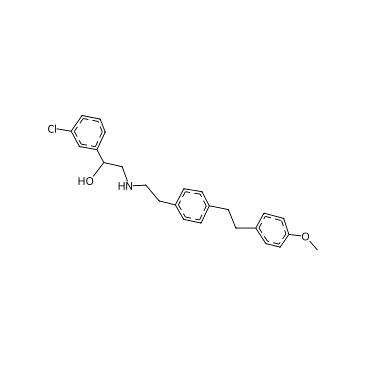 COc1ccc(CCc2ccc(CCNCC(O)c3cccc(Cl)c3)cc2)cc1